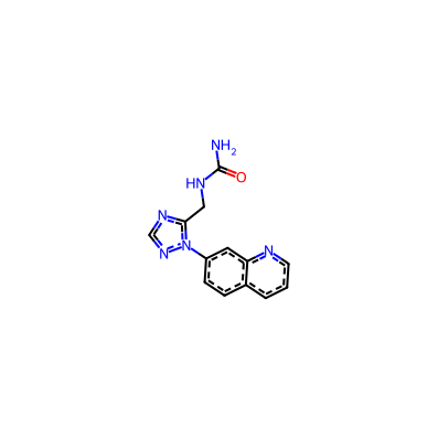 NC(=O)NCc1ncnn1-c1ccc2cccnc2c1